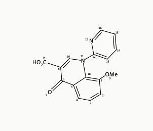 COc1cccc2c(=O)c(C(=O)O)cn(-c3ccccn3)c12